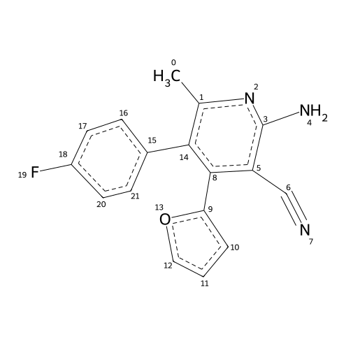 Cc1nc(N)c(C#N)c(-c2ccco2)c1-c1ccc(F)cc1